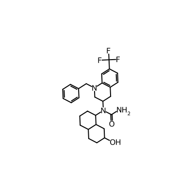 NC(=O)N(C1Cc2ccc(C(F)(F)F)cc2N(Cc2ccccc2)C1)C1CCCC2CCC(O)CC21